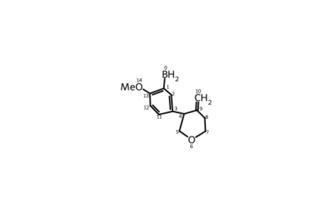 Bc1cc(C2COCCC2=C)ccc1OC